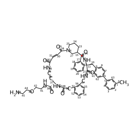 Cc1cccc(-c2ccc(C[C@@H]3NC(=O)[C@]4(Cc5ccccc5)CCCN(C4)C(=O)/C=C/C(=O)NCC[C@@H](C(=O)NCCOCCN)NC(=O)Cc4ccccc4CNC3=O)cc2)c1